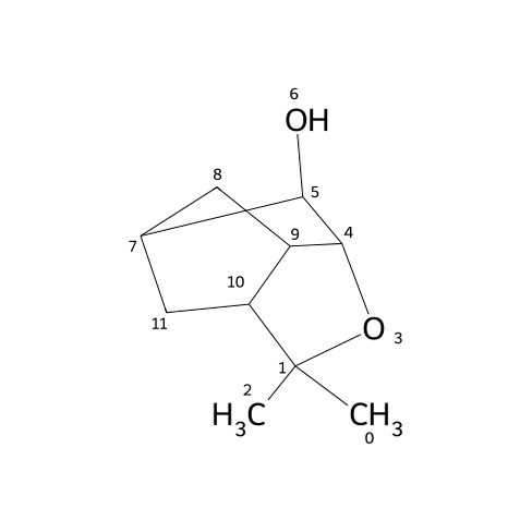 CC1(C)OC2C(O)C3CC2C1C3